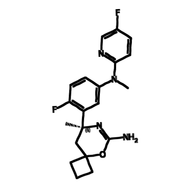 CN(c1ccc(F)c([C@]2(C)CC3(CCC3)OC(N)=N2)c1)c1ccc(F)cn1